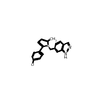 Cc1ccc(-c2ccc(Cl)cc2)n1Cc1ccc2cn[nH]c2c1